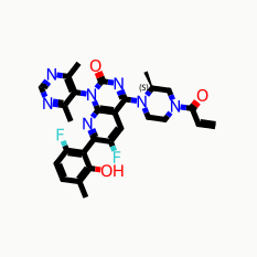 C=CC(=O)N1CCN(c2nc(=O)n(-c3c(C)ncnc3C)c3nc(-c4c(F)ccc(C)c4O)c(F)cc23)[C@@H](C)C1